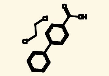 ClCCCl.O=C(O)c1ccc(-c2ccccc2)cc1